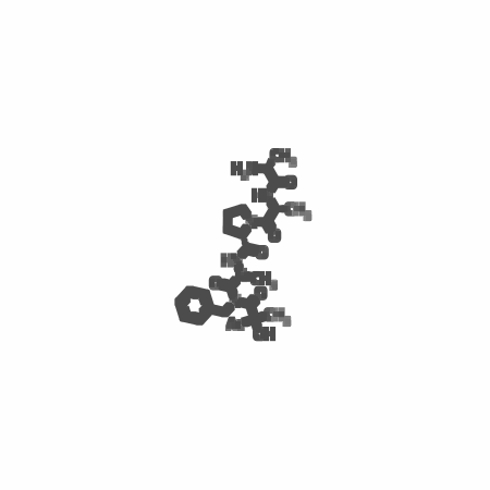 CC(=O)C(C)(O)C(=O)N(Cc1ccccc1)C(=O)N(C)NC(=O)[C@@H]1CCCN1C(=O)[C@H](C)NC(=O)[C@H](C)N